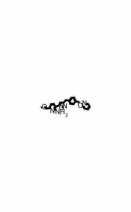 COCc1ccc(-c2cc(Cc3ccc(COc4ccccn4)cc3)no2)c(N)n1